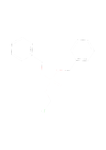 O=P(OCCl)(OCc1ccccc1)OCc1ccccc1